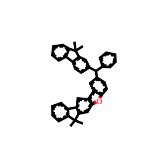 CC1(C)c2ccccc2-c2ccc(C(c3ccccc3)c3ccc4oc5cc6c(cc5c4c3)-c3ccccc3C6(C)C)cc21